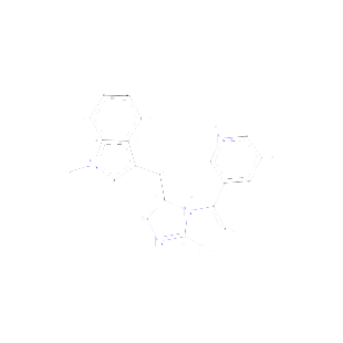 Cn1cc(CC2CN=C3SC=C(c4cccnc4)N32)c2ccccc21